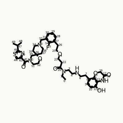 CCN(CCNCCc1ccc(O)c2c1OCC(=O)N2)C(=O)CCOCCc1cccc(CN2CCC3(CC2)CN(C(=O)c2csc(C(C)C)n2)CCO3)c1F